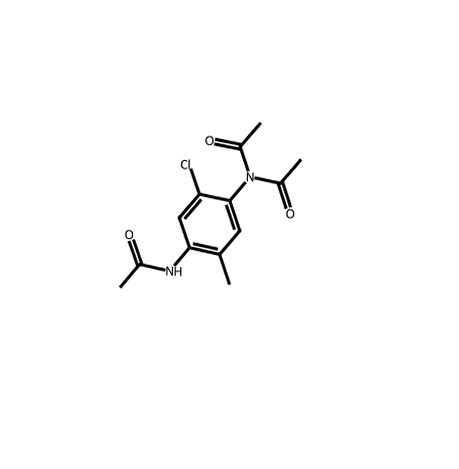 CC(=O)Nc1cc(Cl)c(N(C(C)=O)C(C)=O)cc1C